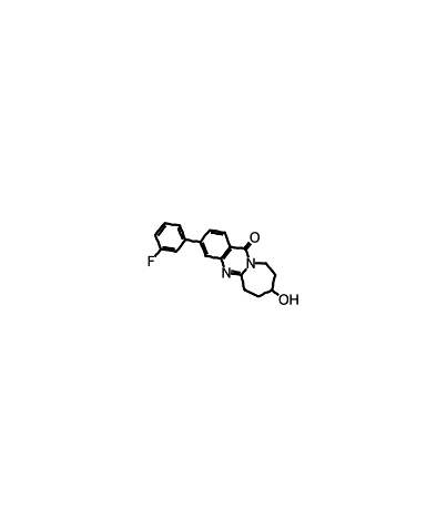 O=c1c2ccc(-c3cccc(F)c3)cc2nc2n1CCC(O)CC2